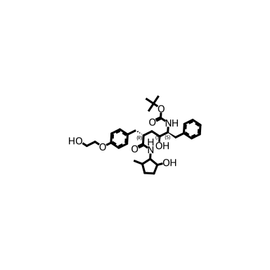 CC1CCC(O)C1NC(=O)[C@H](Cc1ccc(OCCO)cc1)C[C@H](O)[C@H](Cc1ccccc1)NC(=O)OC(C)(C)C